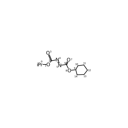 CC(C)OC(=O)N=NC(=O)OC1CCCCC1